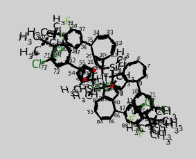 CC1=CC2=C(C=CC=CC2c2cc(F)c(C(C)(C)C)c(Cl)c2)[C]12[SiH](C)[C]1(C(C)=CC3=C1C=CC=CC3c1cc(F)c(C(C)(C)C)c(Cl)c1)[Hf]21([Cl])([Cl])[C]2(C(C)=CC3=C2C=CC=CC3c2cc(F)c(C(C)(C)C)c(Cl)c2)[SiH](C)[C]12C(C)=CC1=C2C=CC=CC1c1cc(F)c(C(C)(C)C)c(Cl)c1